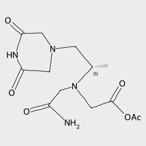 CC(=O)OC(=O)CN(CC(N)=O)[C@@H](C)CN1CC(=O)NC(=O)C1